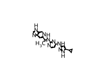 C[C@@H](Nc1nccc(Nc2cc(C3CC3)[nH]n2)n1)c1cc2nc[nH]c2cn1